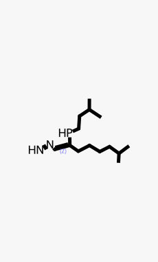 CC(C)CCCC/C(=C/N=N)PCCC(C)C